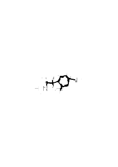 CCCC(C)(C(N)=O)c1ccc(C(C)C)cc1Cl